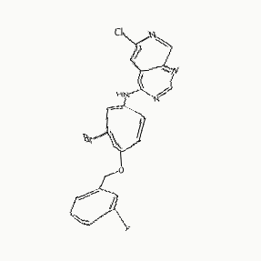 Fc1cccc(COc2ccc(Nc3ncnc4cnc(Cl)cc34)cc2Br)c1